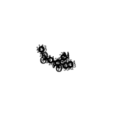 Cn1c(C2CCN(C(=O)OCc3ccccc3)CC2)cc(-c2ccncc2)c(-c2ccc3ccccc3c2)c1=O